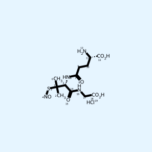 CC(C)(SN=O)[C@H](NC(=O)CC[C@H](N)C(=O)O)C(=O)NCC(=O)O.Cl